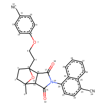 CC12CCC(CCOc3ccc(C#N)cc3)(O1)C1C(=O)N(c3ccc(C#N)c4ccccc34)C(=O)C12